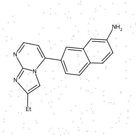 CCc1cn2c(-c3ccc4ccc(N)cc4c3)ccnc2n1